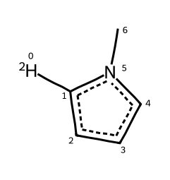 [2H]c1cccn1C